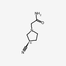 N#C[C@@H]1CCN(CC(N)=O)C1